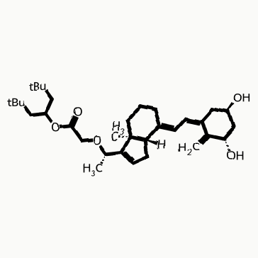 C=C1C(=CC=C2CCC[C@]3(C)C([C@H](C)OCC(=O)OC(CC(C)(C)C)CC(C)(C)C)=CC[C@@H]23)C[C@@H](O)C[C@@H]1O